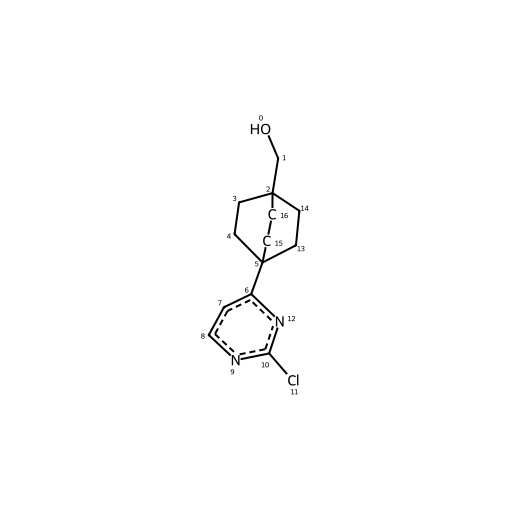 OCC12CCC(c3ccnc(Cl)n3)(CC1)CC2